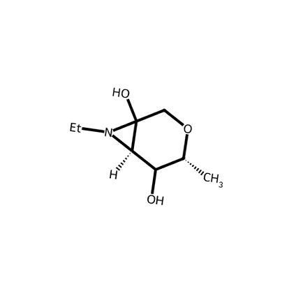 CCN1[C@@H]2C(O)[C@@H](C)OCC21O